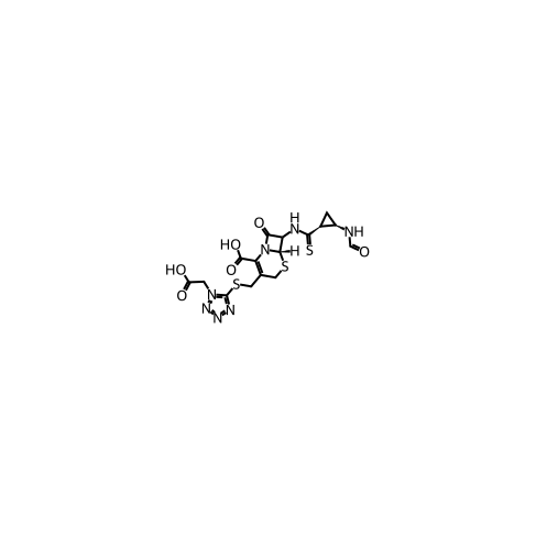 O=CN[C@@H]1C[C@@H]1C(=S)NC1C(=O)N2C(C(=O)O)=C(CSc3nnnn3CC(=O)O)CS[C@@H]12